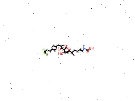 CC(=Cc1ccc(CCC(F)(F)F)cc1)C(=O)c1c(O)cc(C(C)CCC=CNC(=O)O)oc1=O